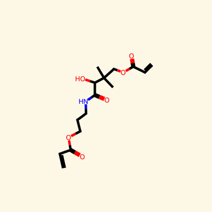 C=CC(=O)OCCCNC(=O)C(O)C(C)(C)COC(=O)C=C